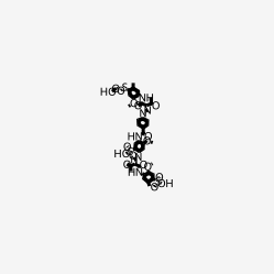 COc1cc(/N=N/C(C(C)=O)C(=O)Nc2cc(C)c(S(=O)(=O)O)cc2OC)c(S(=O)(=O)O)cc1NC(=O)c1ccc(/N=N/C(C(C)=O)C(=O)Nc2cc(C)c(SOOO)cc2OC)cc1